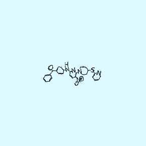 O=C(c1ccccc1)c1ccc(Nc2ccc([N+](=O)[O-])c(N3CCC(Sc4ccccn4)CC3)n2)cc1